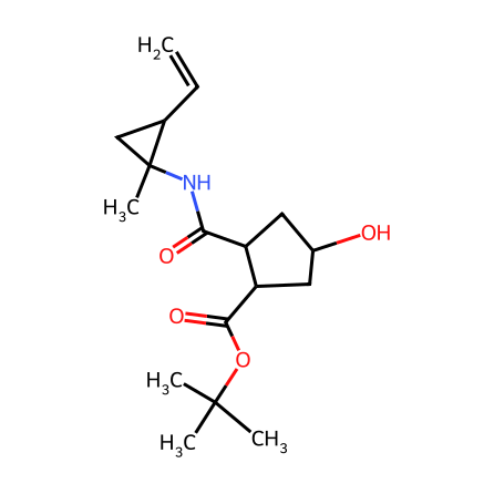 C=CC1CC1(C)NC(=O)C1CC(O)CC1C(=O)OC(C)(C)C